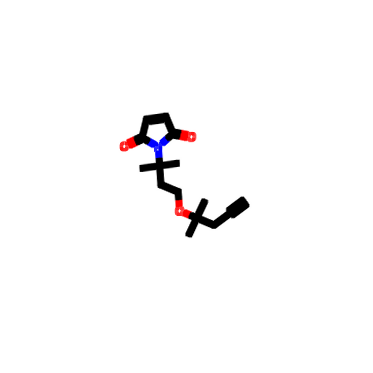 C#CCC(C)(C)OCCC(C)(C)N1C(=O)C=CC1=O